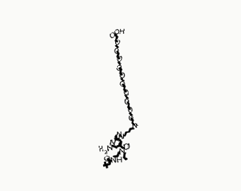 CCCN(CCCNC(=O)CC(C)(C)C)C(=O)C1=Cc2c(cnn2CCCCCN(C)CCOCCOCCOCCOCCOCCOCCOCCOCCOCCOCCC(=O)O)N=C(N)C1